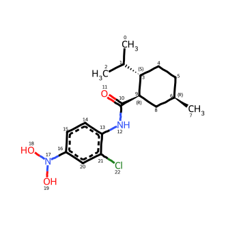 CC(C)[C@@H]1CC[C@@H](C)C[C@H]1C(=O)Nc1ccc(N(O)O)cc1Cl